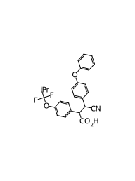 CC(C)C(F)(F)Oc1ccc(C(C(=O)O)C(C#N)c2ccc(Oc3ccccc3)cc2)cc1